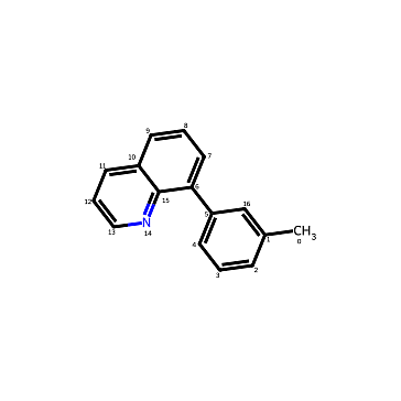 Cc1cccc(-c2cccc3cccnc23)c1